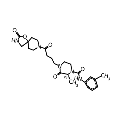 Cc1cccc(NC(=O)N2CCN(CCCC(=O)N3CCC4(CC3)CNC(=O)O4)C(=O)[C@@H]2C)c1